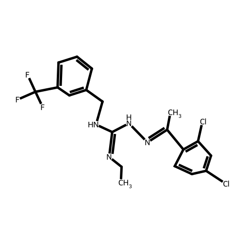 CC/N=C(/NCc1cccc(C(F)(F)F)c1)N/N=C(\C)c1ccc(Cl)cc1Cl